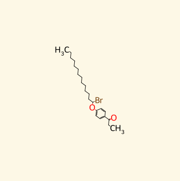 CCCCCCCCCCCCCC(Br)Oc1ccc(C(=O)CC)cc1